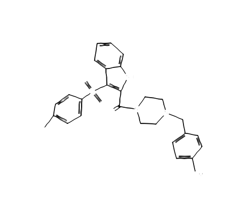 COc1ccc(CN2CCN(C(=O)c3[nH]c4ccccc4c3S(=O)(=O)c3ccc(Cl)cc3)CC2)cc1